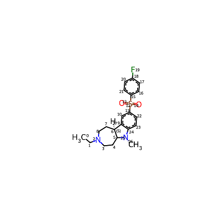 CCN1CCC2[C@@H](CC1)c1cc(S(=O)(=O)c3ccc(F)cc3)ccc1N2C